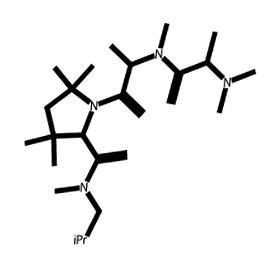 C=C(C1N(C(=C)C(C)N(C)C(=C)C(C)N(C)C)C(C)(C)CC1(C)C)N(C)CC(C)C